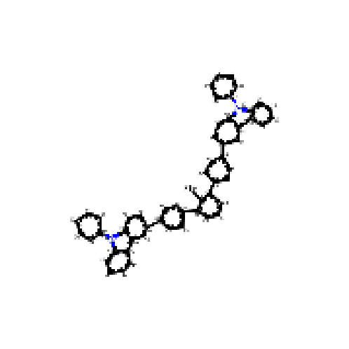 CCc1c(-c2ccc(-c3ccc4c(c3)c3ccccc3n4-c3ccccc3)cc2)cccc1-c1ccc(-c2ccc3c(c2)c2ccccc2n3-c2ccccc2)cc1